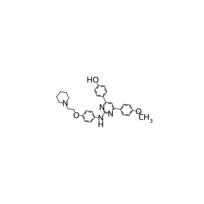 COc1ccc(-c2cc(-c3ccc(O)cc3)nc(Nc3ccc(OCCN4CCCCC4)cc3)n2)cc1